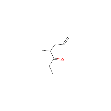 C=CCC(C)C(=O)CC